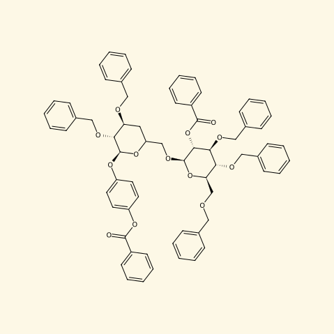 O=C(Oc1ccc(O[C@@H]2OC(CO[C@@H]3O[C@H](COCc4ccccc4)[C@@H](OCc4ccccc4)[C@H](OCc4ccccc4)[C@H]3OC(=O)c3ccccc3)C[C@H](OCc3ccccc3)[C@H]2OCc2ccccc2)cc1)c1ccccc1